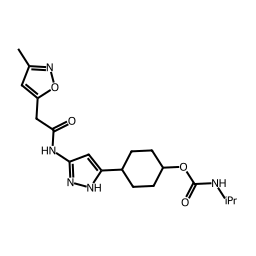 Cc1cc(CC(=O)Nc2cc(C3CCC(OC(=O)NC(C)C)CC3)[nH]n2)on1